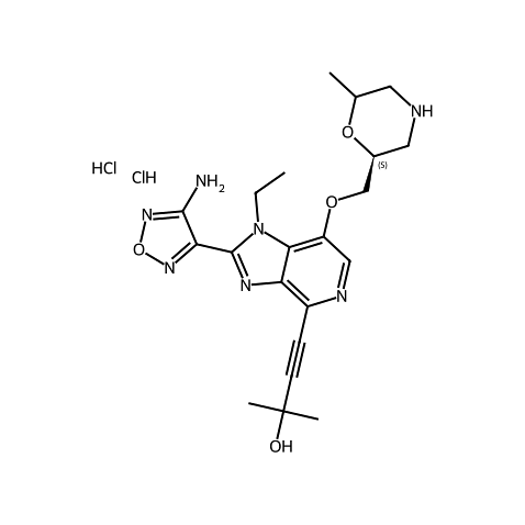 CCn1c(-c2nonc2N)nc2c(C#CC(C)(C)O)ncc(OC[C@@H]3CNCC(C)O3)c21.Cl.Cl